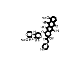 COc1cccc2c1C(=N)c1c(O)c3c(c(O)c1C2=O)C[C@@](O)(C(=O)CN1CCNCC1)C[C@@H]3O[C@H]1C[C@H]2[C@H](O[C@@H]3[C@@H](OC)OCCN32)[C@H](C)O1